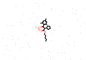 CCCCCOC(=O)C(C(=O)c1c(C)cc(C)cc1C)C1CCCC1.O=[PH3]